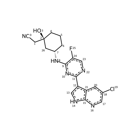 N#CC[C@]1(O)CCC[C@H](Nc2nc(-c3c[nH]c4ncc(Cl)cc34)ncc2F)C1